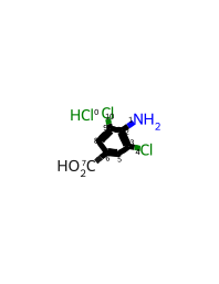 Cl.Nc1c(Cl)cc(C(=O)O)cc1Cl